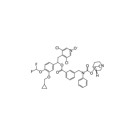 O=C(OC(Cc1c(Cl)c[n+]([O-])cc1Cl)c1ccc(OC(F)F)c(OCC2CC2)c1)c1cccc(CN(C(=O)O[C@H]2CN3CCC2CC3)c2ccccc2)c1